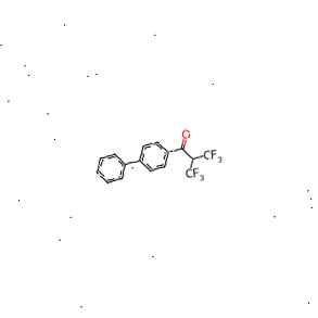 O=C(c1ccc(-c2ccccc2)cc1)C(C(F)(F)F)C(F)(F)F